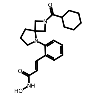 O=C(C=Cc1ccccc1N1CCCC12CN(C(=O)C1CCCCC1)C2)NO